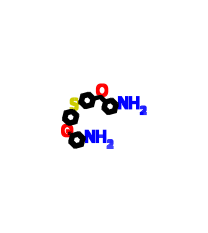 Nc1cccc(Oc2ccc(Sc3ccc(C(=O)c4cccc(N)c4)cc3)cc2)c1